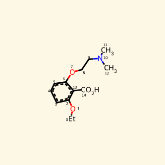 CCOc1cccc(OCCN(C)C)c1C(=O)O